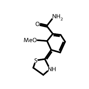 COC1C(C(N)=O)=CC=CC1=C1NCCS1